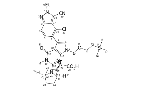 CCn1nc2ccc(-c3cn(COCC[Si](C)(C)C)c4nc(N5[C@H]6CC[C@@H]5[C@H](NC(=O)O)C6)n(C)c(=O)c34)c(Cl)c2c1C#N